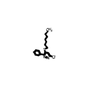 CCCCCCCCSc1cc(Cl)nnc1-c1ccccc1